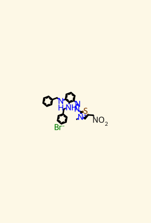 C[n+]1cc(C[N+](=O)[O-])sc1N=Nc1cccc(NCc2ccccc2)c1NCc1ccccc1.[Br-]